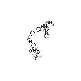 C=C1CCC(N2C(=O)c3ccc(N4CC[C@@H](CN5CCC(c6ccc(Nc7nc(N8CCCCC8)cnc7C(N)=O)cc6)CC5)C4)cc3C2=O)C(=O)N1